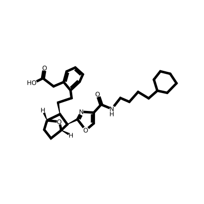 O=C(O)Cc1ccccc1CC[C@H]1[C@@H](c2nc(C(=O)NCCCCC3CCCCC3)co2)[C@@H]2CC[C@H]1O2